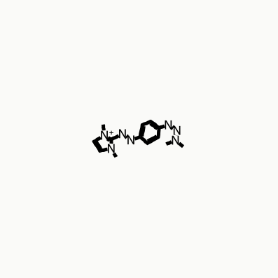 CN(C)/N=N\c1ccc(/N=N/c2n(C)cc[n+]2C)cc1